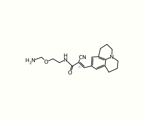 N#C/C(=C\c1cc2c3c(c1)CCCN3CCC2)C(=O)NCCOCN